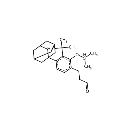 C[SiH](C)Oc1c(CCC=O)ccc(C23CC4CC(CC(C4)C2)C3)c1C(C)(C)C